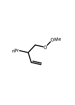 C=CC(CCC)COOC